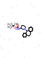 CC(C)(C)OC(=O)NC1CCCN(C2c3ccccc3CCc3ccccc32)C1